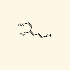 C\C=C/C(C)=C\C=C\O